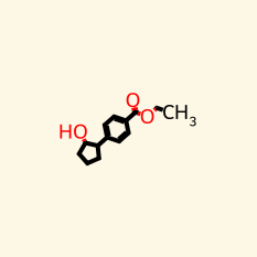 CCOC(=O)c1ccc(C2CCCC2O)cc1